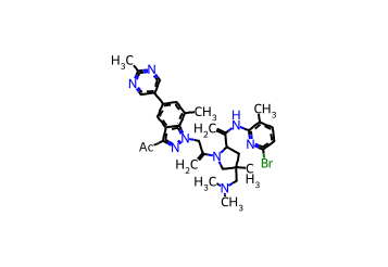 C=C(Nc1nc(Br)ccc1C)C1CC(C)(CN(C)C)CN1C(=C)Cn1nc(C(C)=O)c2cc(-c3cnc(C)nc3)cc(C)c21